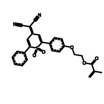 C=C(C)C(=O)OCCOc1ccc(C2=CC(=C(C#N)C#N)C=C(c3ccccc3)S2(=O)=O)cc1